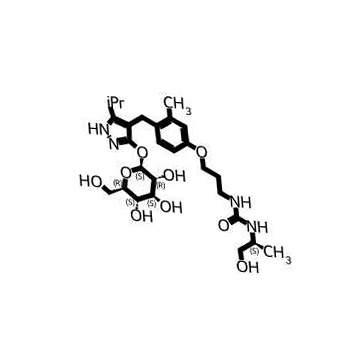 Cc1cc(OCCCNC(=O)N[C@@H](C)CO)ccc1Cc1c(O[C@@H]2O[C@H](CO)[C@@H](O)[C@H](O)[C@H]2O)n[nH]c1C(C)C